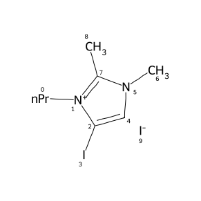 CCC[n+]1c(I)cn(C)c1C.[I-]